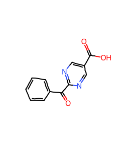 O=C(O)c1cnc(C(=O)c2ccccc2)nc1